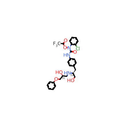 O=C(Nc1ccc(C[C@@H](CO)NC[C@H](O)COc2ccccc2)cc1)N(OC(=O)C(F)(F)F)c1ccccc1Cl